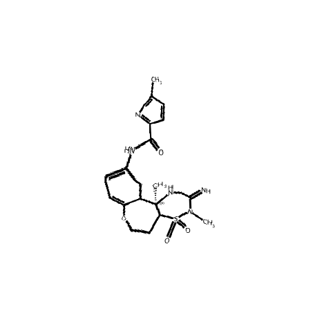 Cc1ccc(C(=O)NC2=CC=C3OCCC4[C@](C)(NC(=N)N(C)S4(=O)=O)C3C2)nc1